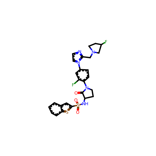 O=C1C(NS(=O)(=O)c2cc3ccccc3s2)CCN1c1ccc(-n2ccnc2CN2CCC(F)C2)cc1F